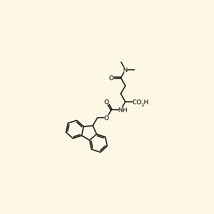 CN(C)C(=O)CCC(NC(=O)OCC1c2ccccc2-c2ccccc21)C(=O)O